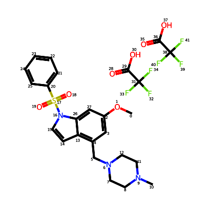 COc1cc(CN2CCN(C)CC2)c2ccn(S(=O)(=O)c3ccccc3)c2c1.O=C(O)C(F)(F)F.O=C(O)C(F)(F)F